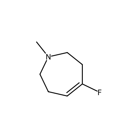 CN1CCC=C(F)CC1